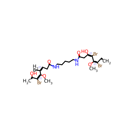 BC(=C/CC(=O)NCCCCCNC(=O)C/C(O)=C(Br)\C(OC)=C(\Br)C=C)/C(OC)=C(/Br)C(=C)O